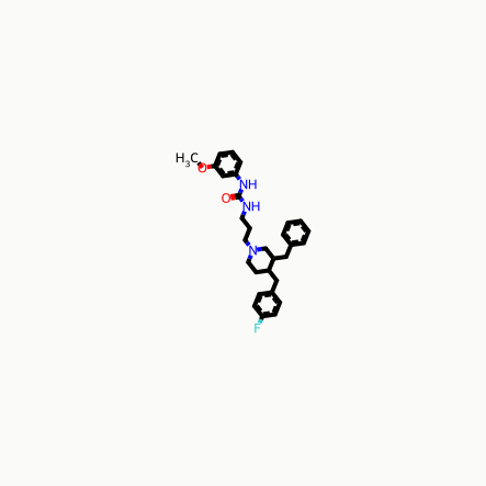 COc1cccc(NC(=O)NCCCN2CCC(Cc3ccc(F)cc3)C(Cc3ccccc3)C2)c1